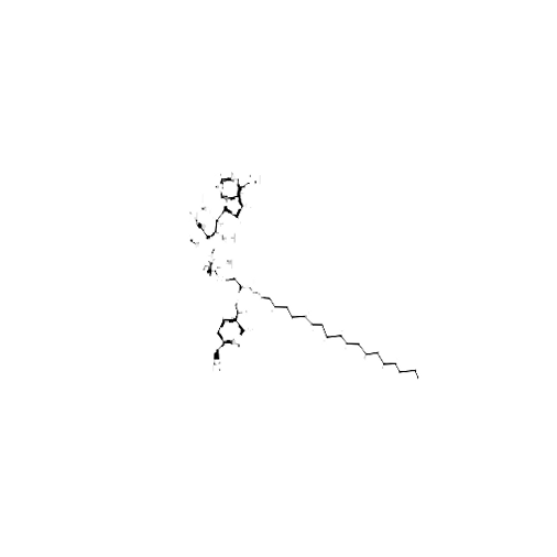 CCCCCCCCCCCCCCCCCCOC[C@H](COP(=O)(O)OC[C@@](C#N)(OC)[C@@H](O)[C@@H](O)c1ccc2c(N)ncnn12)OCc1ccc(C#N)nc1